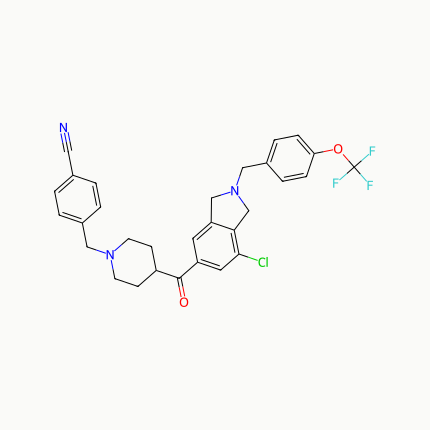 N#Cc1ccc(CN2CCC(C(=O)c3cc(Cl)c4c(c3)CN(Cc3ccc(OC(F)(F)F)cc3)C4)CC2)cc1